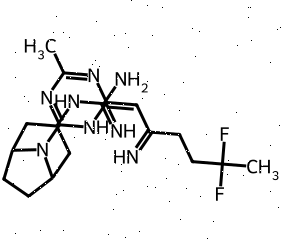 CC1=N/C(=C/C(=N)CCC(C)(F)F)NC(N2C3CCC2CC(NC(=N)N)C3)=N1